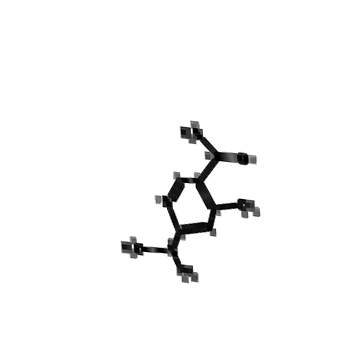 Cc1cc(N(C)P)ncc1C(N)=O